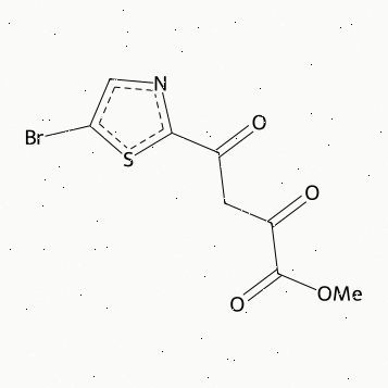 COC(=O)C(=O)CC(=O)c1ncc(Br)s1